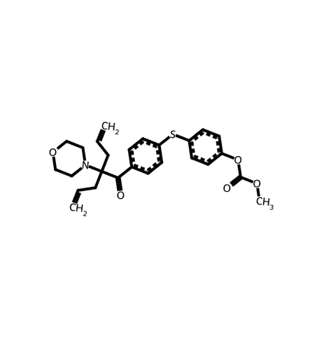 C=CCC(CC=C)(C(=O)c1ccc(Sc2ccc(OC(=O)OC)cc2)cc1)N1CCOCC1